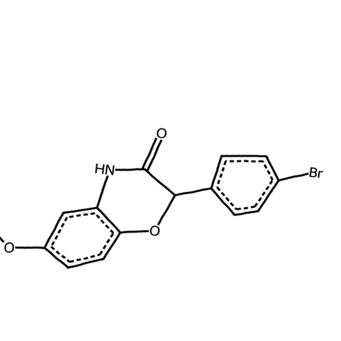 O=C1Nc2cc(OC(F)(F)F)ccc2OC1c1ccc(Br)cc1